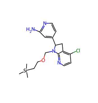 C[Si](C)(C)CCOCN1c2nccc(Cl)c2CC1c1ccnc(N)c1